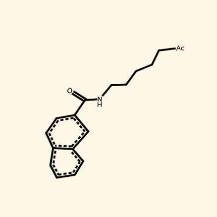 CC(=O)CCCCCNC(=O)c1ccc2ccccc2c1